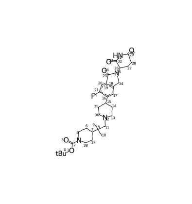 CC(C)(C)OC(=O)N1CCC(C(C)(C)CN2CCC(c3cc4c(cc3F)C(=O)N(C3CCC(=O)NC3=O)C4)CC2)CC1